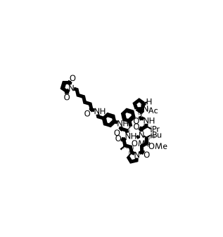 CC[C@H](C)[C@@H]([C@@H](CC(=O)N1CCC[C@H]1[C@H](OC)[C@@H](C)C(=O)N[C@@H](Cc1ccccc1)C(=O)Nc1ccc(CNC(=O)CCCCCN2C(=O)C=CC2=O)cc1)OC)N(C)C(=O)[C@@H](NC(=O)[C@@H]1C2CC[C@@H](C2)N1C(C)=O)C(C)C